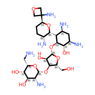 NC[C@@H]1O[C@H](O[C@H]2[C@@H](O)[C@H](O[C@H]3C([C@H]4O[C@H](C5(N)COC5)CC[C@H]4N)[C@@H](N)C[C@@H](N)[C@@H]3O)O[C@@H]2CO)[C@H](N)[C@@H](O)[C@@H]1O